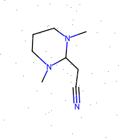 CN1CCCN(C)C1CC#N